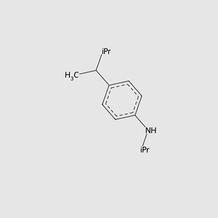 CC(C)Nc1ccc(C(C)C(C)C)cc1